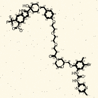 Cc1cnc(NC(=O)Nc2cc(Br)c(C)cc2OC[C@@H]2CN(C(=O)CCOCCOCCOc3ccc(CN4CCC(O)(c5cc6cc([N+](=O)[O-])c(C(F)(F)F)cc6[nH]5)CC4)cc3)CCO2)cn1